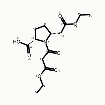 CCOC(=O)CC(=O)N1[C@@H](CC(=O)OCC)CC[C@H]1C(=O)O